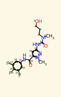 CN(CCCO)C(=O)Nc1cc(C(=O)Nc2cc(F)c(F)c(F)c2)n(C)n1